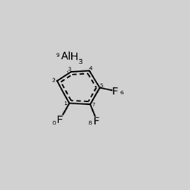 Fc1c[c]cc(F)c1F.[AlH3]